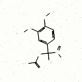 COc1ccc(C(C)(OC(=O)O)[N+](=O)[O-])cc1OC